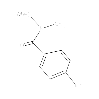 CON(C)C(=O)c1ccc(C(C)C)cc1